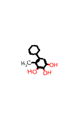 Cc1c(C2CCCCC2)cc(O)c(O)c1O